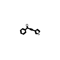 O=C(C#Cc1ccsc1)c1ccccc1